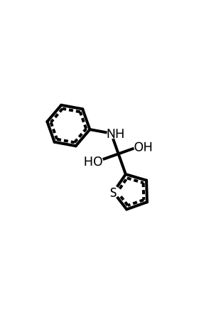 OC(O)(Nc1ccccc1)c1cccs1